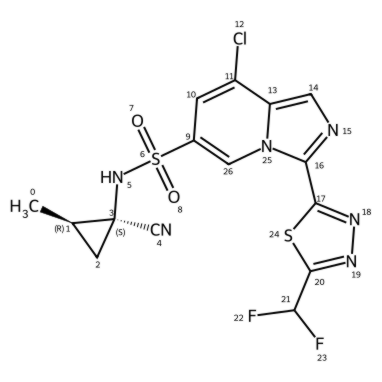 C[C@@H]1C[C@]1(C#N)NS(=O)(=O)c1cc(Cl)c2cnc(-c3nnc(C(F)F)s3)n2c1